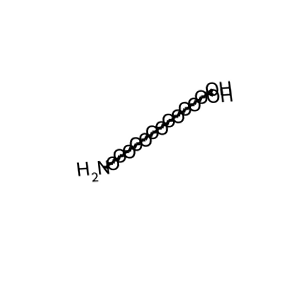 NCCOCCOCCOCCOCCOCCOCCOCCOCCOCCOCCOCCOCCC(O)O